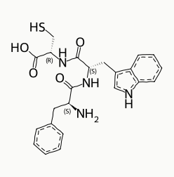 N[C@@H](Cc1ccccc1)C(=O)N[C@@H](Cc1c[nH]c2ccccc12)C(=O)N[C@@H](CS)C(=O)O